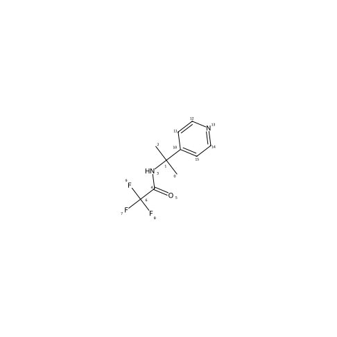 CC(C)(NC(=O)C(F)(F)F)c1ccncc1